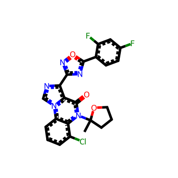 CC1(n2c(=O)c3c(-c4noc(-c5ccc(F)cc5F)n4)ncn3c3cccc(Cl)c32)CCCO1